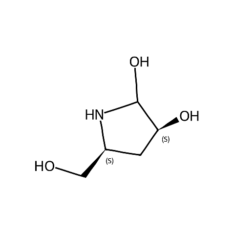 OC[C@@H]1C[C@H](O)C(O)N1